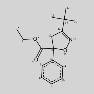 CCOC(=O)C1(c2ccccc2)CC(C(C)(C)C)=NO1